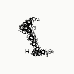 CC(C)(C)c1ccc(N2c3ccc(-c4ccc5c(c4)Cc4cc(-c6ccc7c(c6)C6(C)CCCCC6(C)N7c6ccc(C(C)(C)C)cc6)ccc4-5)cc3C3(C)CCCCC23C)cc1